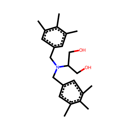 Cc1cc(CN(Cc2cc(C)c(C)c(C)c2)C(CO)CO)cc(C)c1C